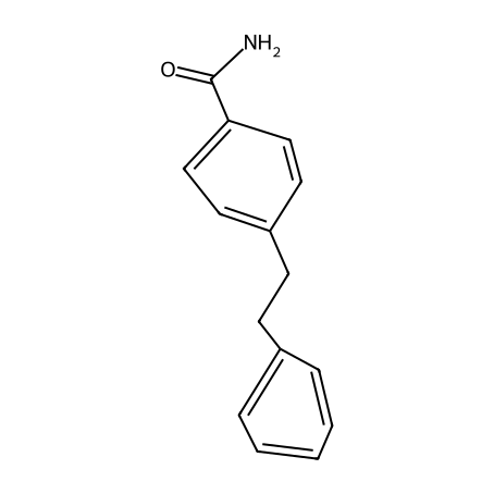 NC(=O)c1ccc(CCc2ccccc2)cc1